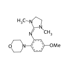 COc1ccc(N2CCOCC2)c(N=C2N(C)CCN2C)c1